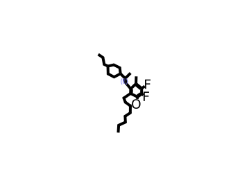 CCCCCC1CCc2c(/C=C(\C)C3CCC(CCC)CC3)c(C)c(F)c(F)c2O1